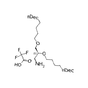 CCCCCCCCCCCCCCOC[C@H](CN)OCCCCCCCCCCCCCC.O=C(O)C(F)(F)F